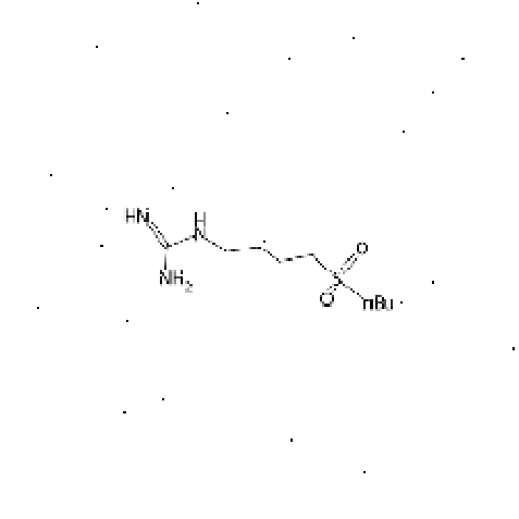 CCCCS(=O)(=O)CCCCNC(=N)N